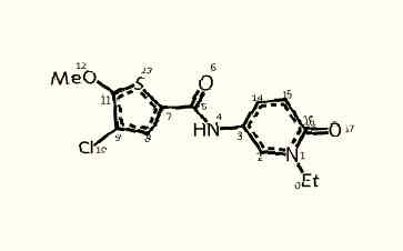 CCn1cc(NC(=O)c2cc(Cl)c(OC)s2)ccc1=O